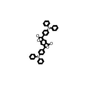 O=C1Oc2cc3c(cc2=C1c1ccc(N(c2ccccc2)c2ccccc2)cc1)C(=O)OC=3c1ccc(N(c2ccccc2)c2ccccc2)cc1